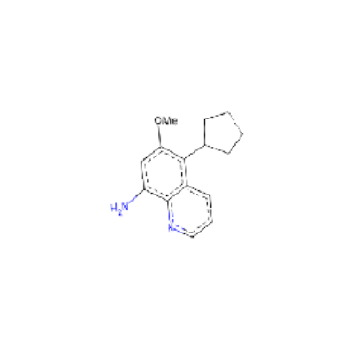 COc1cc(N)c2ncccc2c1C1CCCC1